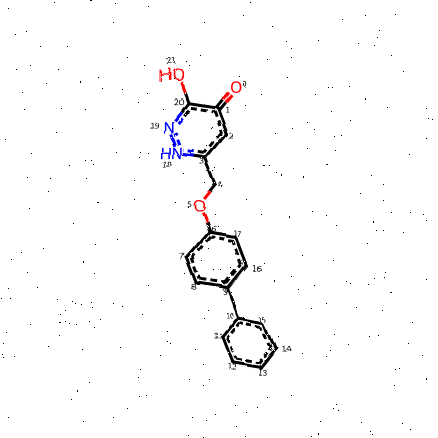 O=c1cc(COc2ccc(-c3ccccc3)cc2)[nH]nc1O